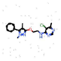 Cc1ncnc(NCCOc2nn(C)c(-c3ccccc3)c2C)c1Cl